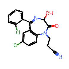 N#CCCN1C(=O)C(O)N=C(c2ccccc2Cl)c2cc(Cl)ccc21